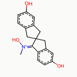 C[N+](O)=C1c2ccc(O)cc2CC12Cc1ccc(O)cc1C2